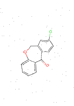 O=C1c2ccc(Cl)cc2COc2ccccc21